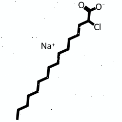 CCCCCCCCCCCCCCC(Cl)C(=O)[O-].[Na+]